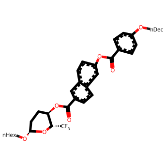 CCCCCCCCCCOc1ccc(C(=O)Oc2ccc3cc(C(=O)O[C@@H]4CC[C@@H](OCCCCCC)O[C@H]4C(F)(F)F)ccc3c2)cc1